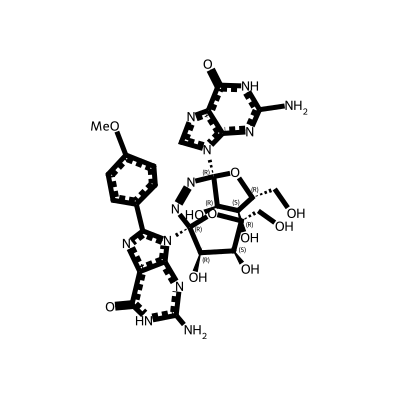 COc1ccc(-c2nc3c(=O)[nH]c(N)nc3n2[C@]2(N=N[C@@]3(n4cnc5c(=O)[nH]c(N)nc54)O[C@H](CO)[C@@H](O)[C@H]3O)O[C@H](CO)[C@@H](O)[C@H]2O)cc1